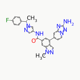 CC(c1ccc(F)cc1)n1cc(NC(=O)c2cc(-c3ccn4nc(N)nc4c3)c3cnn(C)c3c2)cn1